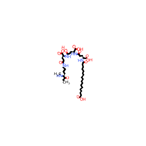 C=CC(=O)[C@H](CCCCNC(=O)CC[C@H](NC(=O)CC[C@H](NC(=O)CC[C@H](NC(=O)CCCCCCCCCCCCCCCCC(=O)O)C(=O)O)C(=O)O)C(=O)O)NC